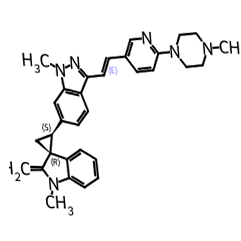 C=C1N(C)c2ccccc2[C@]12C[C@H]2c1ccc2c(/C=C/c3ccc(N4CCN(C)CC4)nc3)nn(C)c2c1